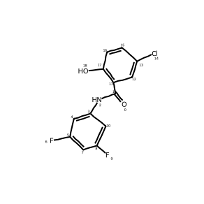 O=C(Nc1cc(F)cc(F)c1)c1cc(Cl)ccc1O